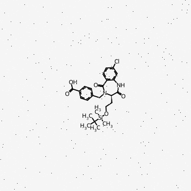 CC(C)(C)[Si](C)(C)OCC[C@@H]1C(=O)Nc2cc(Cl)ccc2C(=O)N1Cc1ccc(C(=O)O)cc1